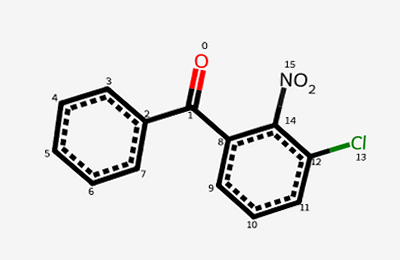 O=C(c1ccccc1)c1cccc(Cl)c1[N+](=O)[O-]